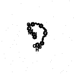 O=C1CCC(c2cccc(C#CCCN3CCN(CC#Cc4ccc(/C=C/Cc5ccc(C(=O)N6CCc7cnc(-c8cnc9ccccc9c8)nc7C6)cc5)cc4)CC3)c2)C(=O)N1